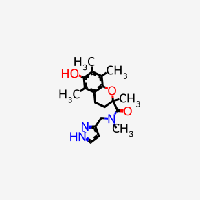 Cc1c(C)c2c(c(C)c1O)CCC(C)(C(=O)N(C)Cc1cc[nH]n1)O2